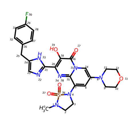 CN1CCN(c2cc(N3CCOCC3)cn3c(=O)c(O)c(-c4ncc(Cc5ccc(F)cc5)[nH]4)nc23)S1(=O)=O